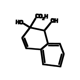 O=C(O)C1(O)C=Cc2ccccc2C1O